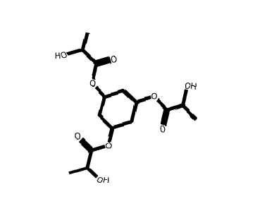 CC(O)C(=O)OC1CC(OC(=O)C(C)O)CC(OC(=O)C(C)O)C1